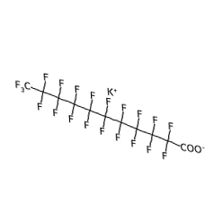 O=C([O-])C(F)(F)C(F)(F)C(F)(F)C(F)(F)C(F)(F)C(F)(F)C(F)(F)C(F)(F)C(F)(F)C(F)(F)F.[K+]